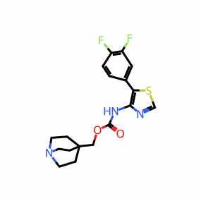 O=C(Nc1ncsc1-c1ccc(F)c(F)c1)OCC12CCN(CC1)CC2